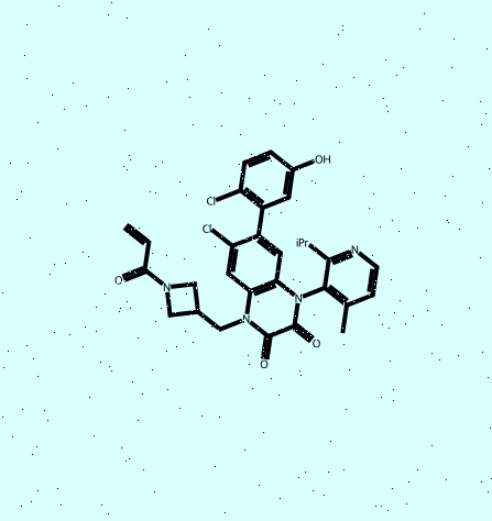 C=CC(=O)N1CC(Cn2c(=O)c(=O)n(-c3c(C)ccnc3C(C)C)c3cc(-c4cc(O)ccc4Cl)c(Cl)cc32)C1